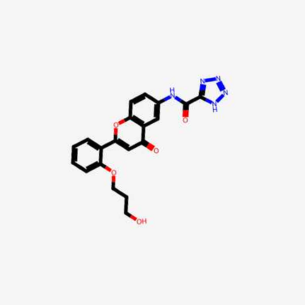 O=C(Nc1ccc2oc(-c3ccccc3OCCCO)cc(=O)c2c1)c1nnn[nH]1